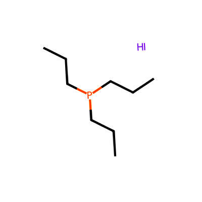 CCCP(CCC)CCC.I